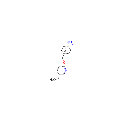 CCc1ccc(OCC23CCC(N)(CC2)CC3)nc1